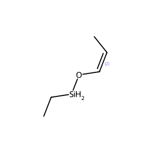 C/C=C\O[SiH2]CC